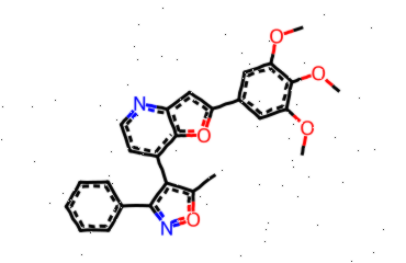 COc1cc(-c2cc3nccc(-c4c(-c5ccccc5)noc4C)c3o2)cc(OC)c1OC